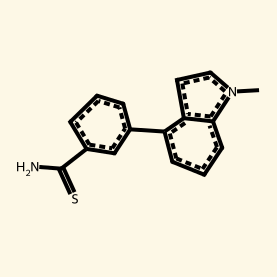 Cn1ccc2c(-c3cccc(C(N)=S)c3)cccc21